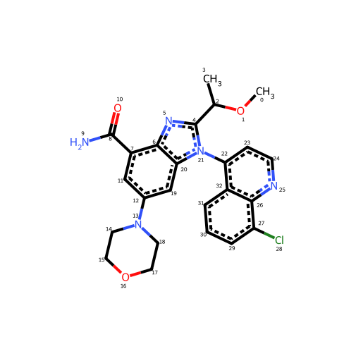 COC(C)c1nc2c(C(N)=O)cc(N3CCOCC3)cc2n1-c1ccnc2c(Cl)cccc12